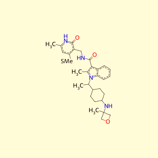 CSc1cc(C)[nH]c(=O)c1CNC(=O)c1c(C)n(C(C)C2CCC(NC3(C)COC3)CC2)c2ccccc12